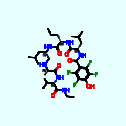 CCC[C@H](NC(=O)[C@H](CC(C)C)NC(=O)c1c(F)c(F)c(O)c(F)c1F)C(=O)N[C@H](CN[C@@H](C)C(=O)N[C@H](C(=O)NCC)C(C)C)CC(C)C